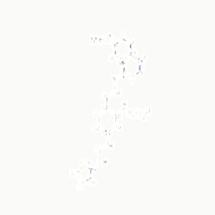 COc1ccc2nccc(CCC[C@@H]3CCN(CCSc4cccs4)C[C@@H]3CC(=O)O)c2c1